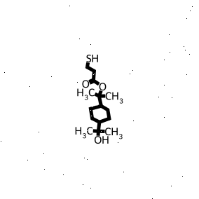 CC(C)(O)C1CCC(C(C)(C)OC(=O)CCS)CC1